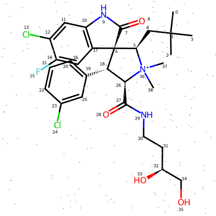 CC(C)(C)C[C@@H]1[C@]2(C(=O)Nc3cc(Cl)c(F)cc32)[C@@H](c2cccc(Cl)c2)[C@H](C(=O)NCC[C@H](O)CO)[N+]1(C)C